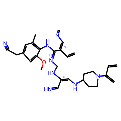 C=CC(=C)N1CCC(N/C=C(\C=N)NC/N=C(Nc2c(C)cc(CC#N)cc2OC)\C(C=C)=C/N=C)CC1